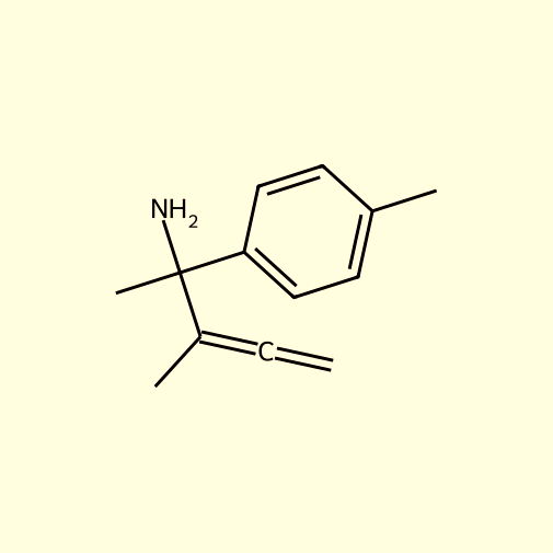 C=C=C(C)C(C)(N)c1ccc(C)cc1